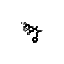 C=C(Br)/C=C1/N=C(C(=O)N(CCc2ccccc2)C(C)C)C=C(CC)N1C